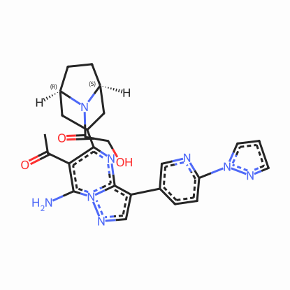 CC(=O)c1c(C2C[C@H]3CC[C@@H](C2)N3C(=O)CO)nc2c(-c3ccc(-n4cccn4)nc3)cnn2c1N